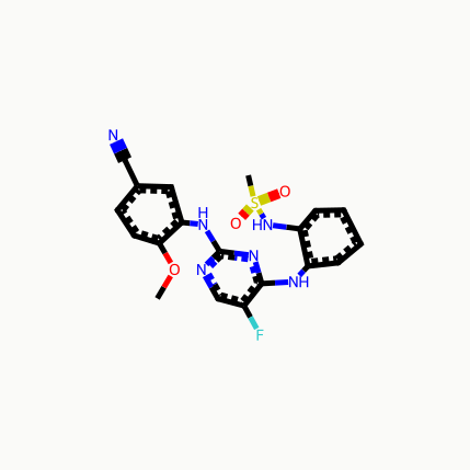 COc1ccc(C#N)cc1Nc1ncc(F)c(Nc2ccccc2NS(C)(=O)=O)n1